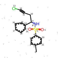 Cc1ccc(S(=O)(=O)NC(CC#CCl)c2ccccc2)cc1